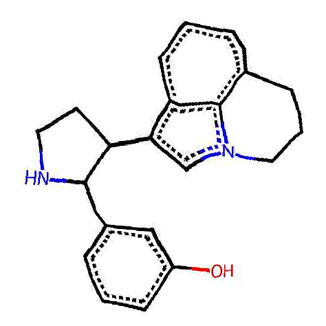 Oc1cccc(C2NCCC2c2cn3c4c(cccc24)CCC3)c1